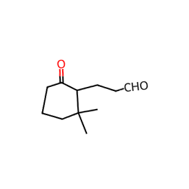 CC1(C)CCCC(=O)C1CCC=O